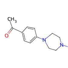 CC(=O)c1ccc(N2CCN(I)CC2)cc1